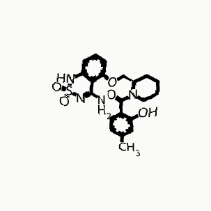 Cc1ccc(C(=O)N2CCCC[C@@H]2COc2cccc3c2C(N)=NS(=O)(=O)N3)c(O)c1